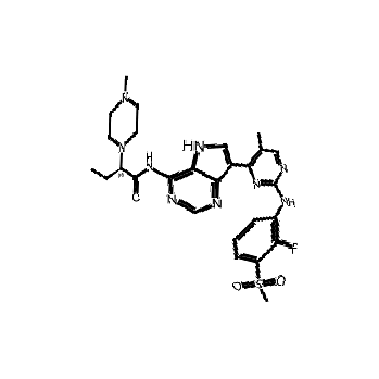 CC[C@H](C(=O)Nc1ncnc2c(-c3nc(Nc4cccc(S(C)(=O)=O)c4F)ncc3C)c[nH]c12)N1CCN(C)CC1